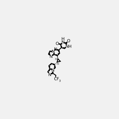 O=c1[nH]cc(-c2cc([C@H]3C[C@@H]3c3ccc4cnc(CC(F)(F)F)n4c3)c3nccn3n2)c(=O)[nH]1